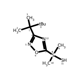 CC(C)(C)C(C)(C)c1noc(S(C)(C)S)n1